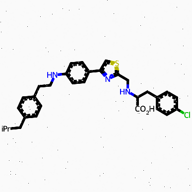 CC(C)Cc1ccc(CCNc2ccc(-c3csc(CNC(Cc4ccc(Cl)cc4)C(=O)O)n3)cc2)cc1